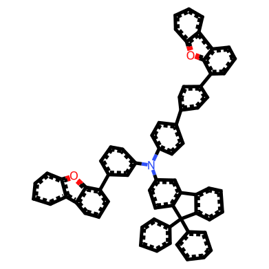 c1ccc(C2(c3ccccc3)c3ccccc3-c3cc(N(c4ccc(-c5ccc(-c6cccc7c6oc6ccccc67)cc5)cc4)c4cccc(-c5cccc6c5oc5ccccc56)c4)ccc32)cc1